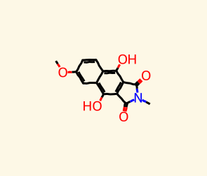 COc1ccc2c(O)c3c(c(O)c2c1)C(=O)N(C)C3=O